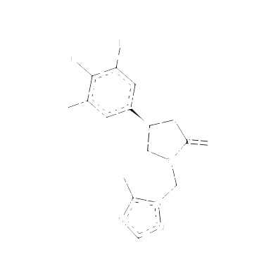 O=C1C[C@H](c2cc(F)c(F)c(F)c2)CN1Cn1ncnc1Cl